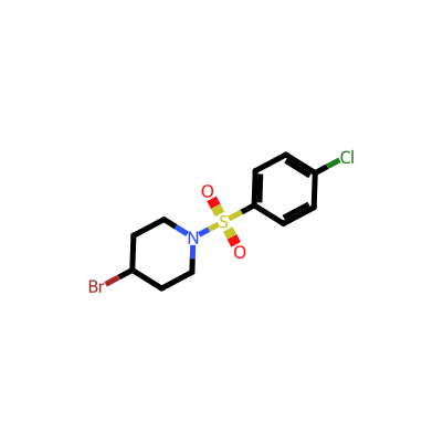 O=S(=O)(c1ccc(Cl)cc1)N1CCC(Br)CC1